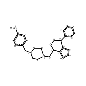 COc1ccc(CN2CCN(CC3OCC(c4ccccc4)c4ccsc43)CC2)cc1